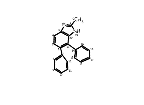 Cc1nc2ccc(-c3ccccc3)c(-c3ccccc3)c2[nH]1